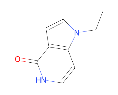 CCn1ccc2c(=O)[nH]ccc21